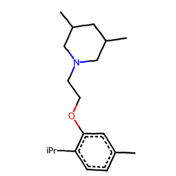 Cc1ccc(C(C)C)c(OCCN2CC(C)CC(C)C2)c1